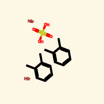 Br.Br.Cc1ccccc1C.Cc1ccccc1C.O=S(=O)(O)O